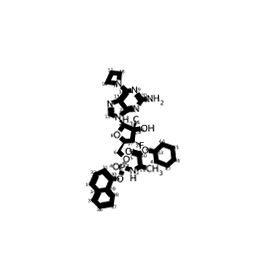 CC(NP(=O)(OC[C@H]1O[C@@H](n2cnc3c(N4CCC4)nc(N)nc32)[C@](C)(O)[C@@H]1F)Oc1cccc2ccccc12)C(=O)OC1CCCCC1